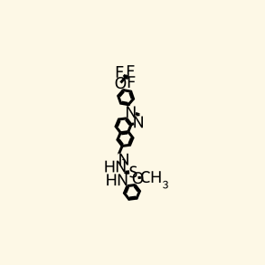 COc1ccccc1NC(=S)N/N=C/c1ccc2c(ccc3c2ncn3-c2ccc(OC(F)(F)F)cc2)c1